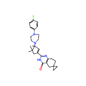 CC1(C)CC(c2nc3c(c(=O)[nH]2)CC2(CC3)CC2)=C[C@@H]1N1CCN(c2ccc(F)cc2)CC1